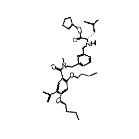 C=C(C)c1cc(C(=O)N(C)Cc2cccc(CN[C@@H](CC(C)C)C(=O)OC3CCCC3)c2)c(OCCCC)cc1OCCCC